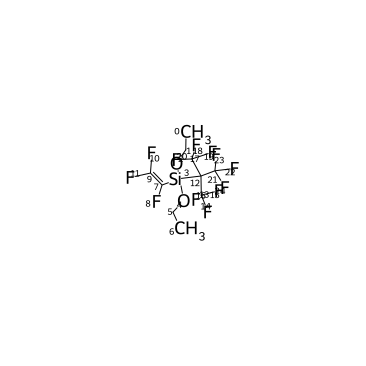 CCO[Si](OCC)(C(F)=C(F)F)C(C(F)(F)F)(C(F)(F)F)C(F)(F)F